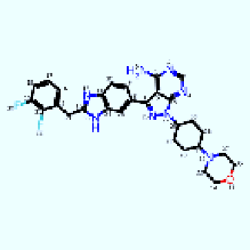 Nc1ncnc2c1c(-c1ccc3nc(Cc4cccc(F)c4F)[nH]c3c1)nn2C1CCC(N2CCOCC2)CC1